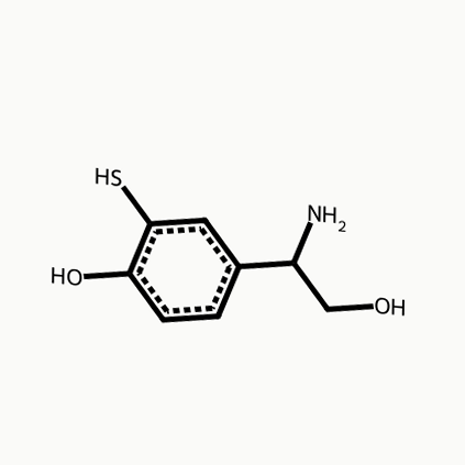 NC(CO)c1ccc(O)c(S)c1